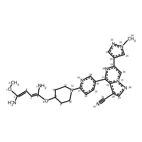 CO/C(N)=C/C=C(\N)OC1CCN(c2ccc(-c3nc(-c4cnn(C)c4)cn4ncc(C#N)c34)cn2)CC1